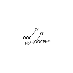 O=C([O-])[O-].O=C([O-])[O-].[Pb+2].[Pb+2]